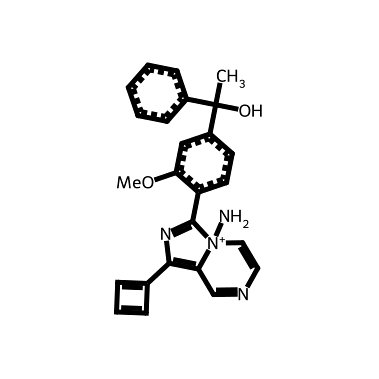 COc1cc(C(C)(O)c2ccccc2)ccc1C1=NC(C2=CC=C2)=C2C=NC=C[N+]12N